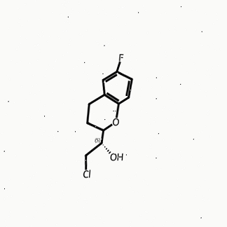 O[C@H](CCl)C1CCc2cc(F)ccc2O1